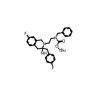 CC(C)(C)OC(=O)N(CCN1Cc2cc(F)ccc2CC1(N)Cc1ccc(F)cc1)Cc1ccccc1